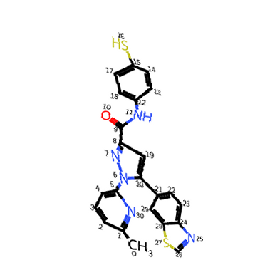 Cc1cccc(-n2nc(C(=O)Nc3ccc(S)cc3)cc2-c2ccc3ncsc3c2)n1